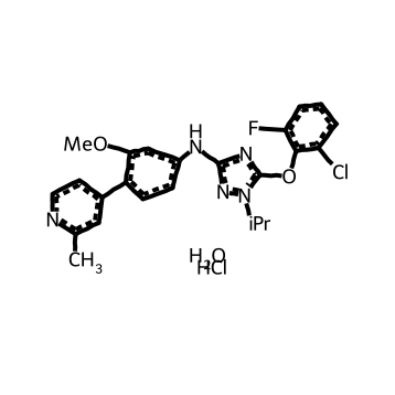 COc1cc(Nc2nc(Oc3c(F)cccc3Cl)n(C(C)C)n2)ccc1-c1ccnc(C)c1.Cl.O